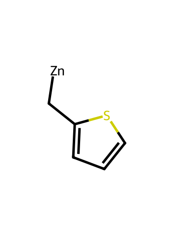 [Zn][CH2]c1cccs1